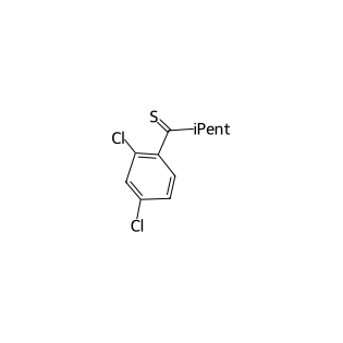 CCCC(C)C(=S)c1ccc(Cl)cc1Cl